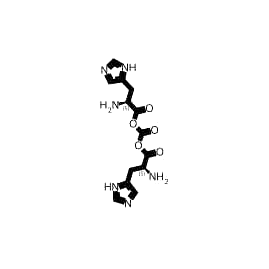 N[C@@H](Cc1cnc[nH]1)C(=O)OC(=O)OC(=O)[C@@H](N)Cc1cnc[nH]1